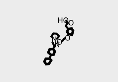 O=C(O)Cc1cccc(OCCON=C(CN2CCCCC2)c2ccc(-c3ccccc3)cc2)c1